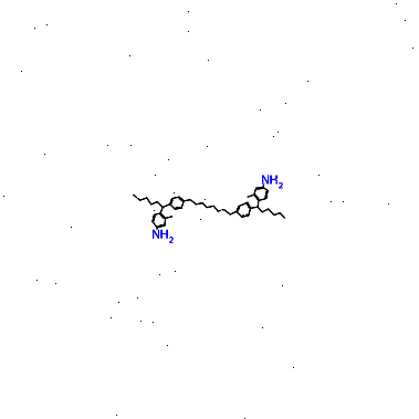 CCCCCC(c1ccc(CCCCCCCCc2ccc(C(CCCCC)c3ccc(N)cc3C)cc2)cc1)c1ccc(N)cc1C